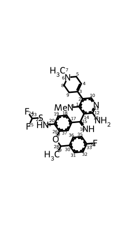 CNc1c(C2=CCN(C)CC2)cnc(N)c1C(=N)c1ccc(NSC(F)F)c(OC(C)c2ccc(F)cc2)c1